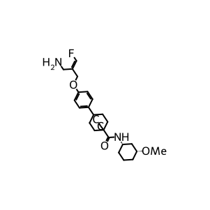 CO[C@@H]1CCC[C@H](NC(=O)C23CCC(c4ccc(OC/C(=C/F)CN)cc4)(CC2)CC3)C1